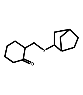 O=C1CCCCC1CSC1CC2CCC1C2